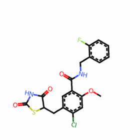 COc1cc(Cl)c(CC2SC(=O)NC2=O)cc1C(=O)NCc1ccccc1F